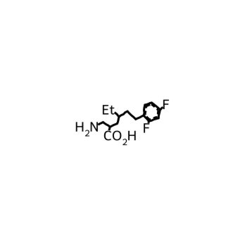 CCC(CCc1ccc(F)cc1F)CC(CN)C(=O)O